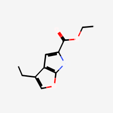 CCOC(=O)c1cc2c(CC)coc2[nH]1